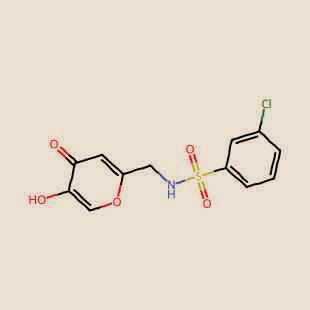 O=c1cc(CNS(=O)(=O)c2cccc(Cl)c2)occ1O